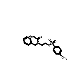 CNC(=O)N(CCOS(=O)(=O)c1ccc(C)cc1)Cc1ccccc1